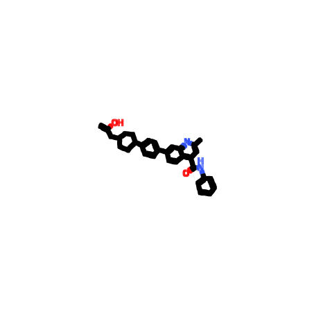 C=C(O)CC1CCC(c2ccc(-c3ccc4c(C(=O)Nc5ccccc5)cc(C)nc4c3)cc2)CC1